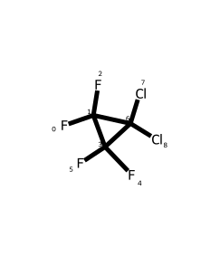 FC1(F)C(F)(F)C1(Cl)Cl